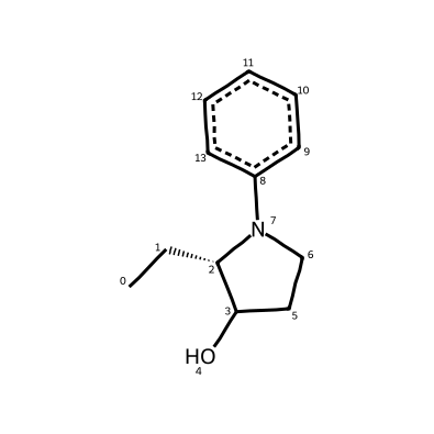 CC[C@H]1C(O)CCN1c1ccccc1